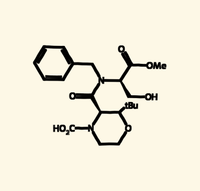 COC(=O)[C@@H](CO)N(Cc1ccccc1)C(=O)[C@H]1C(C(C)(C)C)OCCN1C(=O)O